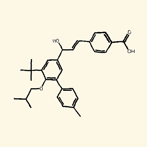 Cc1ccc(-c2cc(C(O)C=Cc3ccc(C(=O)O)cc3)cc(C(C)(C)C)c2OCC(C)C)cc1